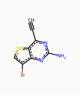 C#Cc1nc(N)nc2c(Br)csc12